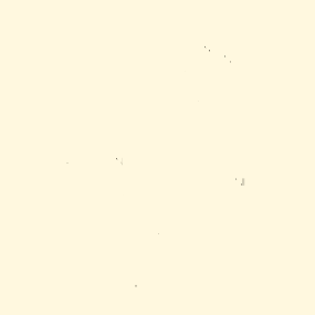 CC(C)Cn1c2ccc(O)cc2c2c3c(c4c(c21)CCc1c-4cnn1C)C(=O)NC3